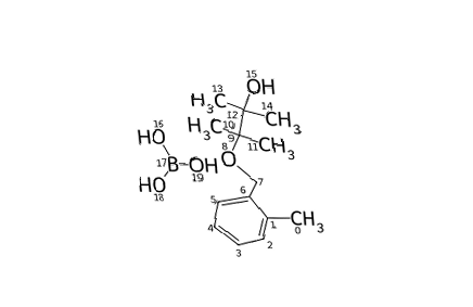 Cc1ccccc1COC(C)(C)C(C)(C)O.OB(O)O